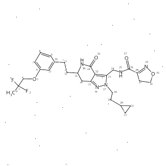 CC(F)(F)COc1cccc(CCC2Cc3nn(CCC4CC4)c(CNC(=O)C4=NOCC4)c3C(=O)N2)c1